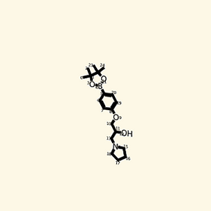 CC1(C)OB(c2ccc(OCC(O)CN3CCCC3)cc2)OC1(C)C